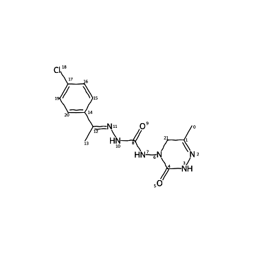 CC1=NNC(=O)N(NC(=O)N/N=C(\C)c2ccc(Cl)cc2)C1